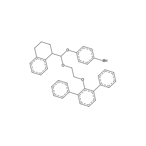 CCC(C)c1ccc(OC(OCCOc2c(-c3ccccc3)cccc2-c2ccccc2)C2CCCc3ccccc32)cc1